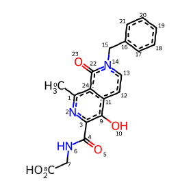 Cc1nc(C(=O)NCC(=O)O)c(O)c2ccn(Cc3ccccc3)c(=O)c12